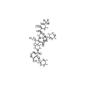 Cc1ncnc(C(=O)N2CCC3(CC2)C[C@@H](C)c2c3c(=O)n3nc(C4=CCOCC4)nc3n2CC(=O)Nc2ccc(C(F)(F)F)cc2Cl)c1OCc1ccccc1